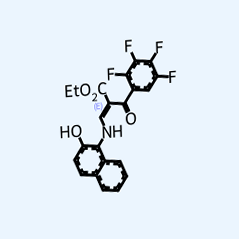 CCOC(=O)/C(=C/Nc1c(O)ccc2ccccc12)C(=O)c1cc(F)c(F)c(F)c1F